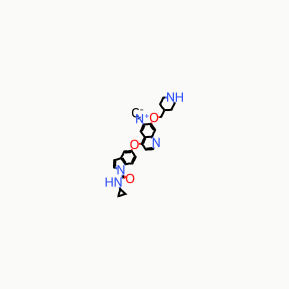 [C-]#[N+]c1cc2c(Oc3ccc4c(ccn4C(=O)NC4CC4)c3)ccnc2cc1OCC1CCNCC1